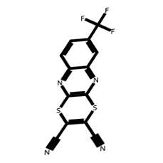 N#CC1=C(C#N)Sc2nc3cc(C(F)(F)F)ccc3nc2S1